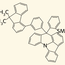 CSc1ccccc1C1(c2cccc(-c3cccc4c3-c3ccccc3C4(C)C)c2)c2ccccc2-n2c3ccccc3c3cccc1c32